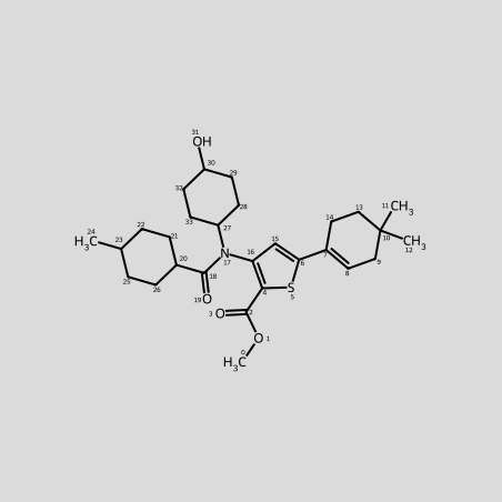 COC(=O)c1sc(C2=CCC(C)(C)CC2)cc1N(C(=O)C1CCC(C)CC1)C1CCC(O)CC1